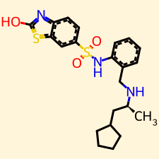 C[C@@H](CC1CCCC1)NCc1ccccc1NS(=O)(=O)c1ccc2nc(O)sc2c1